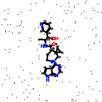 CC(NC(=O)[C@H]1CCN(c2ncnc3[nH]ccc23)CC12CC2)C(O)c1cccnc1